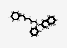 c1ccc(N(CCCCCC2CCCCC2)c2cnc3ccccc3c2)cc1